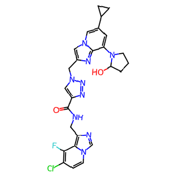 O=C(NCc1ncn2ccc(Cl)c(F)c12)c1cn(Cc2cn3cc(C4CC4)cc(N4CCCC4O)c3n2)nn1